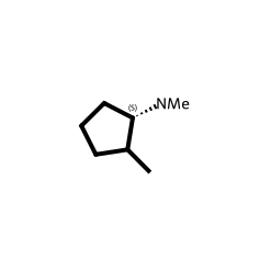 [CH2]N[C@H]1CCCC1C